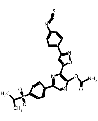 CC(C)S(=O)(=O)c1ccc(-c2cnc(OC(N)=O)c(-c3cc(-c4ccc(N=C=S)cc4)no3)n2)cc1